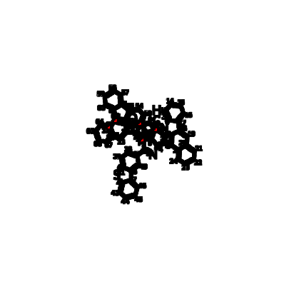 CC1C/C=C(c2cc3c(cc2-n2c4ccccc4c4cc5ccccc5cc42)oc2ccccc23)/N=C(c2ccc3sc4ccccc4c3c2)\N=C/1c1ccc2c3ccccc3n(-c3ccccc3)c2c1